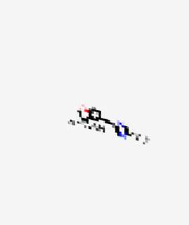 CSC1(SC)CCOc2ccc(C#Cc3cnc(C(=O)O)cn3)cc21